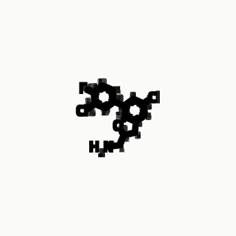 NCC1Cc2cc(Cl)cc(-c3ccc(F)c(Cl)c3)c2O1